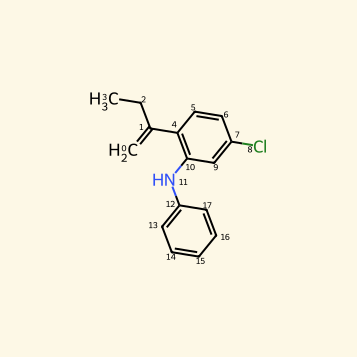 C=C(CC)c1ccc(Cl)cc1Nc1ccccc1